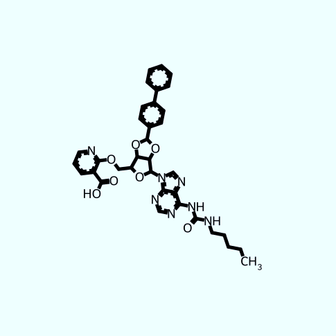 CCCCCNC(=O)Nc1ncnc2c1ncn2C1OC(COc2ncccc2C(=O)O)C2OC(c3ccc(-c4ccccc4)cc3)OC21